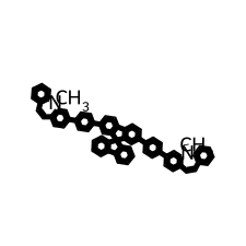 CN1c2ccccc2C=Cc2ccc(-c3ccc(-c4ccc5c(c4)C4(c6ccccc6-c6ccccc64)c4cc(-c6ccc(-c7ccc8c(c7)N(C)c7ccccc7C=C8)cc6)ccc4-5)cc3)cc21